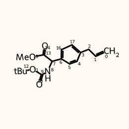 C=CCc1ccc(C(NC(=O)OC(C)(C)C)C(=O)OC)cc1